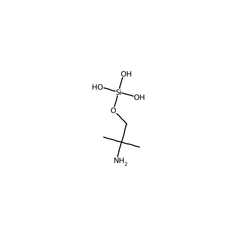 CC(C)(N)CO[Si](O)(O)O